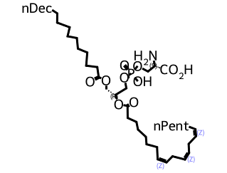 CCCCC/C=C\C/C=C\C/C=C\CCCCCCC(=O)O[C@H](COC(=O)CCCCCCCCCCCCCCCCCCC)COP(=O)(O)OC[C@H](N)C(=O)O